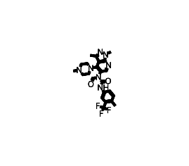 Cc1ccc(NC(=O)N(C=O)c2cnc3c(c(C)nn3C)c2N2CCN(C)CC2)cc1C(F)(F)F